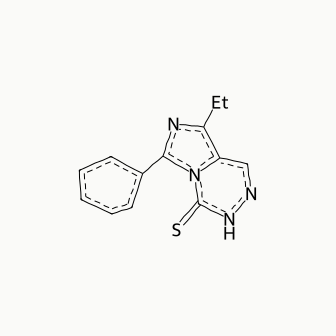 CCc1nc(-c2ccccc2)n2c(=S)[nH]ncc12